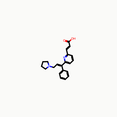 O=C(O)C=Cc1cccc(C(=CCN2CCCC2)c2ccccc2)n1